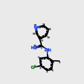 Cc1ccc(Cl)cc1NC(=N)c1cccnc1